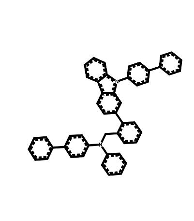 c1ccc(-c2ccc(N(Cc3ccccc3-c3ccc4c5ccccc5n(-c5ccc(-c6ccccc6)cc5)c4c3)c3ccccc3)cc2)cc1